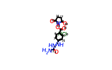 Cl.NC(=O)NNc1ccc(C(=O)ON2C(=O)CCC2=O)cc1